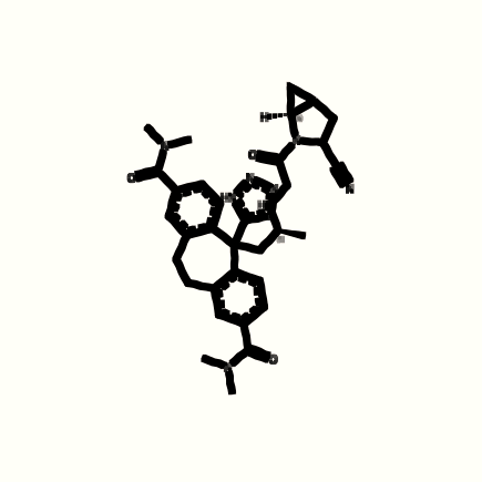 C[C@@H](CC1(c2nnn[nH]2)c2ccc(C(=O)N(C)C)cc2CCc2cc(C(=O)N(C)C)ccc21)NCC(=O)N1C(C#N)CC2C[C@@H]21